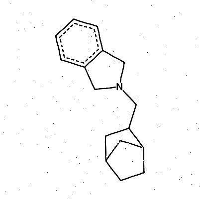 c1ccc2c(c1)CN(CC1CC3CCC1C3)C2